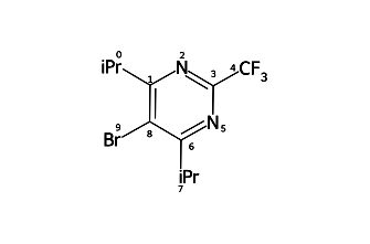 CC(C)c1nc(C(F)(F)F)nc(C(C)C)c1Br